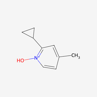 Cc1cc[n+](O)c(C2CC2)c1